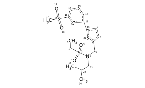 CCS(=O)(=O)N(Cc1ccc(-c2cccc(S(C)(=O)=O)c2)s1)CC(C)C